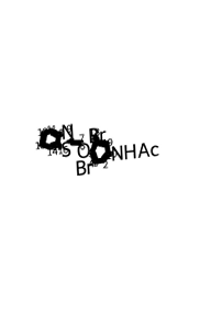 CC(=O)Nc1cc(Br)c(OCc2nc3ccccc3s2)c(Br)c1